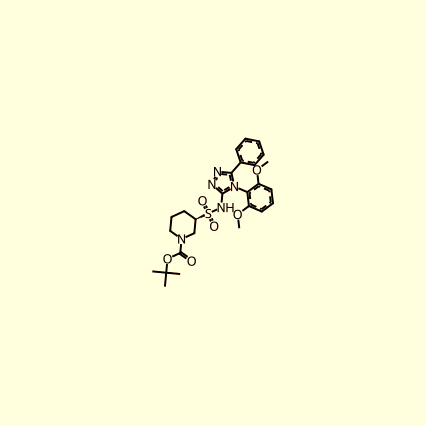 COc1cccc(OC)c1-n1c(NS(=O)(=O)[C@@H]2CCCN(C(=O)OC(C)(C)C)C2)nnc1-c1ccccc1